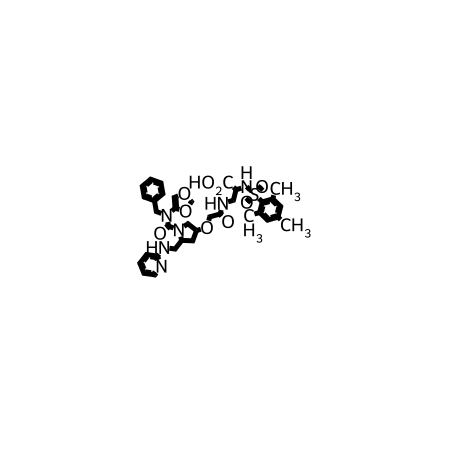 Cc1cc(C)c(S(=O)(=O)NC(CNC(=O)COC2CC(CNc3ccccn3)N(C(=O)N(Cc3ccccc3)C3=COCO3)C2)C(=O)O)c(C)c1